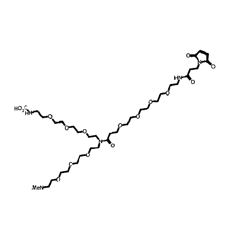 CNCCOCCOCCOCCN(CCOCCOCCOCCNC(=O)O)C(=O)CCOCCOCCOCCOCCNC(=O)CCN1C(=O)C=CC1=O